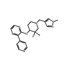 Cn1cc(CN2CCC(Oc3nccnc3-c3ccncc3)C(F)(F)C2)cn1